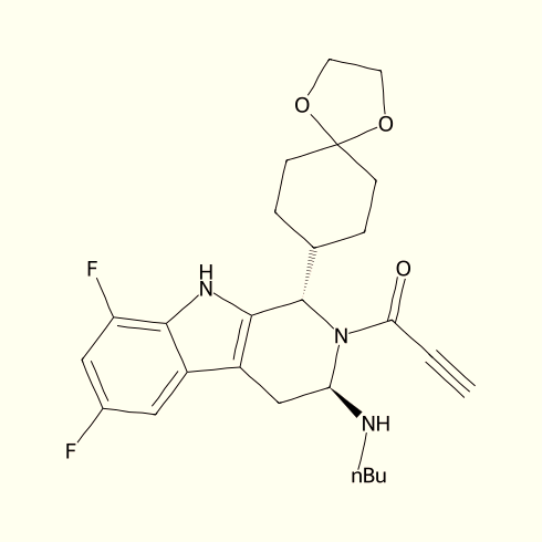 C#CC(=O)N1[C@@H](NCCCC)Cc2c([nH]c3c(F)cc(F)cc23)[C@@H]1C1CCC2(CC1)OCCO2